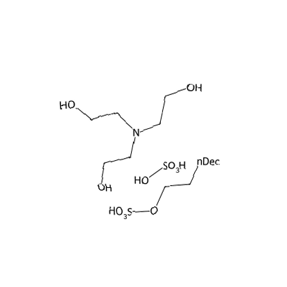 CCCCCCCCCCCCOS(=O)(=O)O.O=S(=O)(O)O.OCCN(CCO)CCO